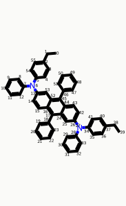 CCc1ccc(N(c2ccccc2)c2ccc3c(-c4ccccc4)c4cc(N(c5ccccc5)c5ccc(CC)cc5)ccc4c(-c4ccccc4)c3c2)cc1